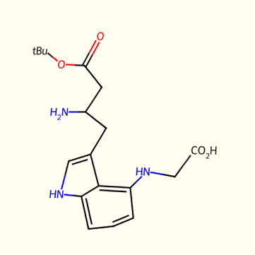 CC(C)(C)OC(=O)CC(N)Cc1c[nH]c2cccc(NCC(=O)O)c12